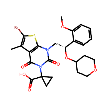 COc1ccccc1[C@@H](Cn1c(=O)n(C2(C(=O)O)CC2)c(=O)c2c(C)c(Br)sc21)OC1CCOCC1